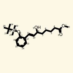 COC(=O)CCCCC(O)/C=C/c1ccccc1O[Si](C)(C)C(C)(C)C